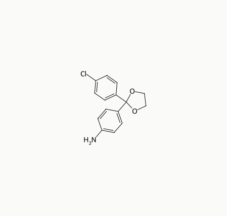 Nc1ccc(C2(c3ccc(Cl)cc3)OCCO2)cc1